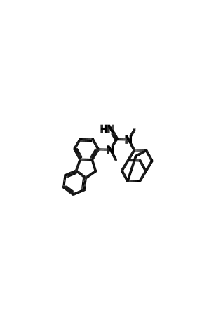 CN(C(=N)N(C)C1C2CC3CC(C2)CC1C3)c1cccc2c1Cc1ccccc1-2